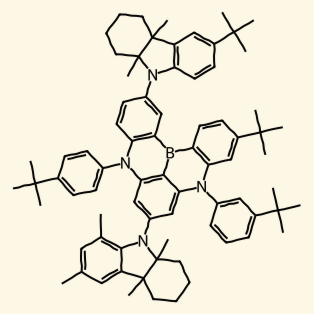 Cc1cc(C)c2c(c1)C1(C)CCCCC1(C)N2c1cc2c3c(c1)N(c1cccc(C(C)(C)C)c1)c1cc(C(C)(C)C)ccc1B3c1cc(N3c4ccc(C(C)(C)C)cc4C4(C)CCCCC34C)ccc1N2c1ccc(C(C)(C)C)cc1